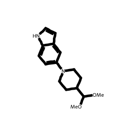 COC(OC)C1CCN(c2ccc3[nH]ccc3c2)CC1